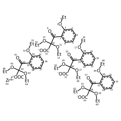 CCOc1ccccc1C(=O)C(OCC)(OCC)C(=O)[O-].CCOc1ccccc1C(=O)C(OCC)(OCC)C(=O)[O-].CCOc1ccccc1C(=O)C(OCC)(OCC)C(=O)[O-].CCOc1ccccc1C(=O)C(OCC)(OCC)C(=O)[O-].[Zr+4]